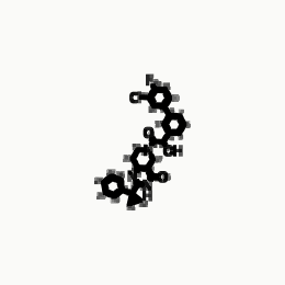 O=C(C(O)c1cccc(-c2ccc(F)c(Cl)c2)c1)N1CCc2nc(C3(c4ccccc4)CC3)[nH]c(=O)c2C1